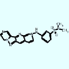 CN(C)S(=O)(=O)c1cccc(NN2C=Cc3cc4nn5c(c4nc3=C2)=CN=CC5)c1